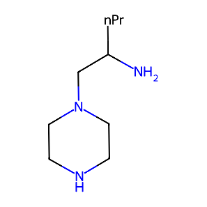 CCCC(N)CN1CCNCC1